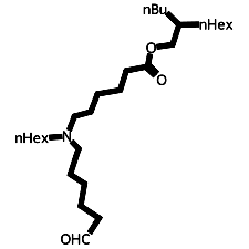 CCCCCCC(CCCC)COC(=O)CCCCCN(CCCCCC)CCCCCC=O